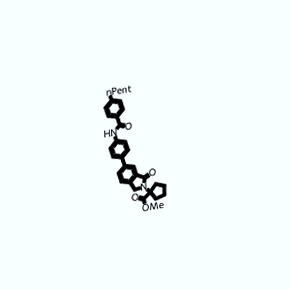 CCCCCc1ccc(C(=O)Nc2ccc(-c3ccc4c(c3)C(=O)N(C3(C(=O)OC)CCCC3)C4)cc2)cc1